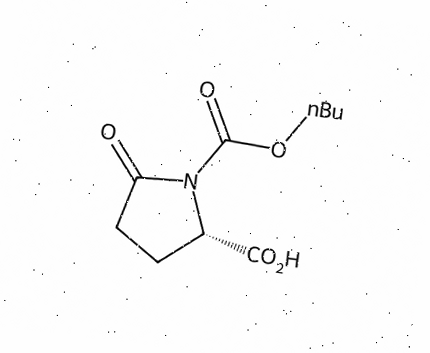 CCCCOC(=O)N1C(=O)CC[C@H]1C(=O)O